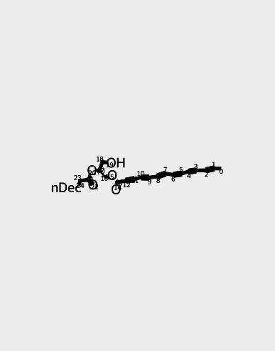 CC#CC#CC#CC#CC#CC#CC(=O)OC[C@H](CO)OC(=O)CCCCCCCCCCC